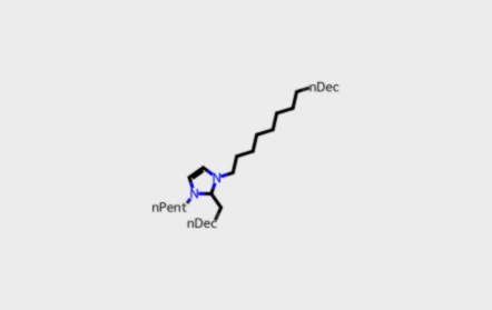 CCCCCCCCCCCCCCCCCCN1C=CN(CCCCC)C1CCCCCCCCCCC